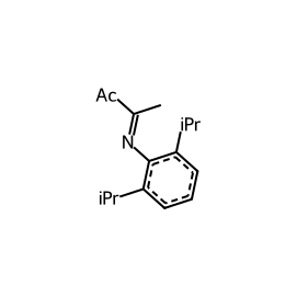 CC(=O)C(C)=Nc1c(C(C)C)cccc1C(C)C